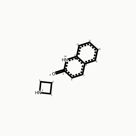 C1CNC1.O=c1ccc2ccccc2[nH]1